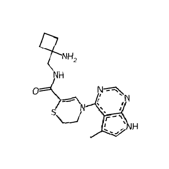 Cc1c[nH]c2ncnc(N3C=C(C(=O)NCC4(N)CCC4)SCC3)c12